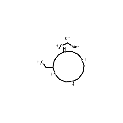 CCC1CCNCCNCCCNCCN1.C[CH2][Mn+].[Cl-]